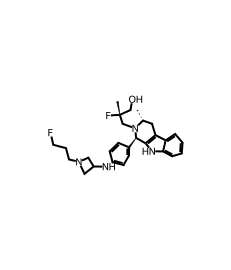 C[C@@H]1Cc2c([nH]c3ccccc23)[C@@H](c2ccc(NC3CN(CCCF)C3)cc2)N1C[C@](C)(F)CO